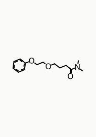 CN(C)C(=O)CCCOCCOc1ccccc1